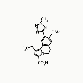 COc1cc2c(cc1-c1nnn(C)n1)-c1c(CC(F)(F)F)cc(C(=O)O)n1CC2